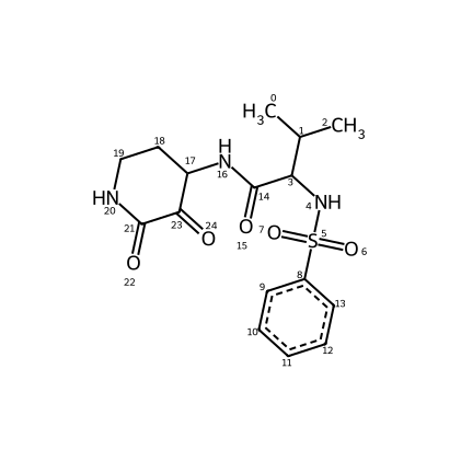 CC(C)C(NS(=O)(=O)c1ccccc1)C(=O)NC1CCNC(=O)C1=O